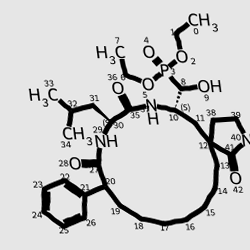 CCOP(=O)(OCC)C(O)[C@@H]1CC2(CCCCCCCC(c3ccccc3)C(=O)N[C@@H](CC(C)C)C(=O)N1)CCNC2=O